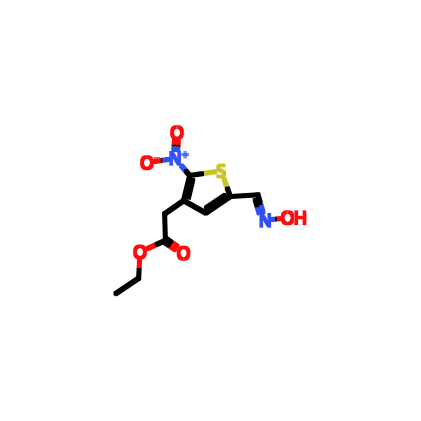 CCOC(=O)Cc1cc(C=NO)sc1[N+](=O)[O-]